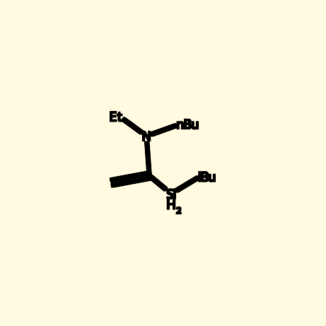 C=C([SiH2]C(C)CC)N(CC)CCCC